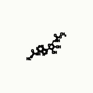 C#CC(=O)Nc1ncnc2c1ncn2[C@@H]1O[C@H](CNC(=O)OC)[C@@H](O)[C@H]1O